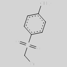 O=Cc1ccc(S(=O)(=O)CBr)cc1